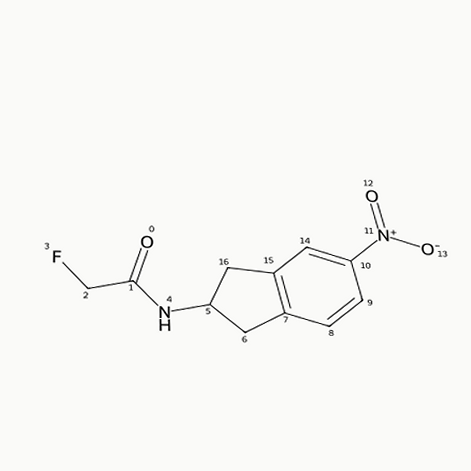 O=C(CF)NC1Cc2ccc([N+](=O)[O-])cc2C1